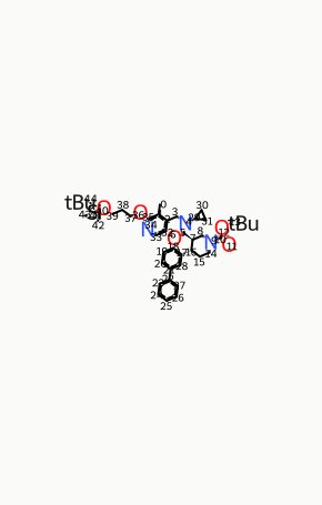 Cc1c(CN(C(=O)[C@H]2CN(C(=O)OC(C)(C)C)CC[C@@H]2c2cccc(-c3ccccc3)c2)C2CC2)ccnc1OCCCO[Si](C)(C)C(C)(C)C